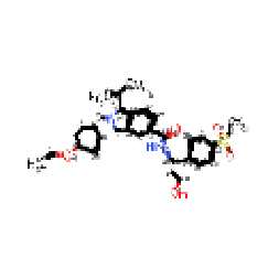 CCO[C@H]1CC[C@H](CN2Cc3cc(C(=O)N[C@@H](CCO)c4ccc(S(=O)(=O)CC)cc4)ccc3[C@@H]2C(C)C)CC1